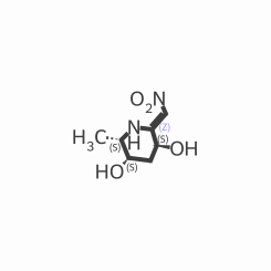 C[C@@H]1N/C(=C\[N+](=O)[O-])[C@@H](O)C[C@@H]1O